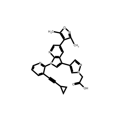 Cc1noc(C)c1-c1cnc2c(c1)c(-c1cnn(CC(=O)O)c1)cn2-c1ncccc1C#CC1CC1